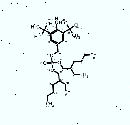 CCCCC(CC)COP(=O)(OCc1cc(C(C)(C)C)c(O)c(C(C)(C)C)c1)OCC(CC)CCCC